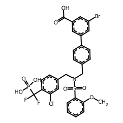 COc1ccccc1S(=O)(=O)N(Cc1ccc(-c2cc(Br)cc(C(=O)O)c2)cc1)Cc1ccc(C(F)(F)P(=O)(O)O)c(Cl)c1